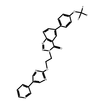 O=c1c2cc(-c3ccc(OC(F)(F)F)cc3)ccc2nnn1CCOc1ncc(-c2cccnc2)cn1